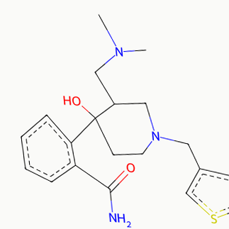 CN(C)CC1CN(Cc2ccsc2)CCC1(O)c1ccccc1C(N)=O